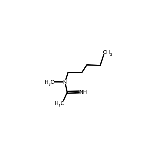 CCCCCN(C)C(C)=N